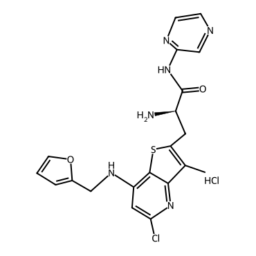 Cc1c(C[C@@H](N)C(=O)Nc2cnccn2)sc2c(NCc3ccco3)cc(Cl)nc12.Cl